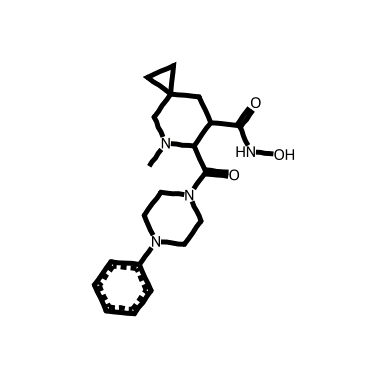 CN1CC2(CC2)CC(C(=O)NO)C1C(=O)N1CCN(c2ccccc2)CC1